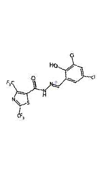 O=C(N/N=C/c1cc(Cl)cc(Cl)c1O)c1sc(C(F)(F)F)nc1C(F)(F)F